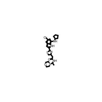 CC(NC(=O)CC1CSC(c2cc3cc(Cl)cc(NC4CCCC4)c3[nH]2)=N1)N1CCOCC1